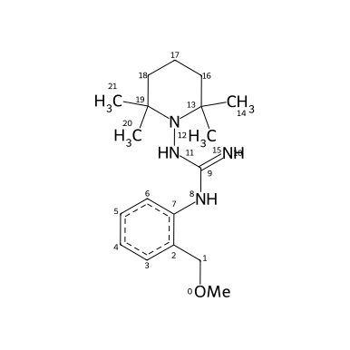 COCc1ccccc1NC(=N)NN1C(C)(C)CCCC1(C)C